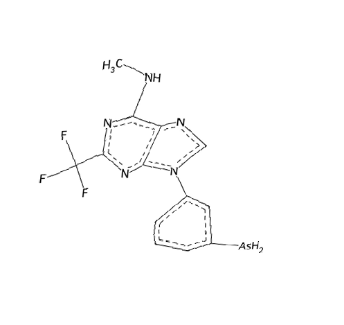 CNc1nc(C(F)(F)F)nc2c1ncn2-c1cccc([AsH2])c1